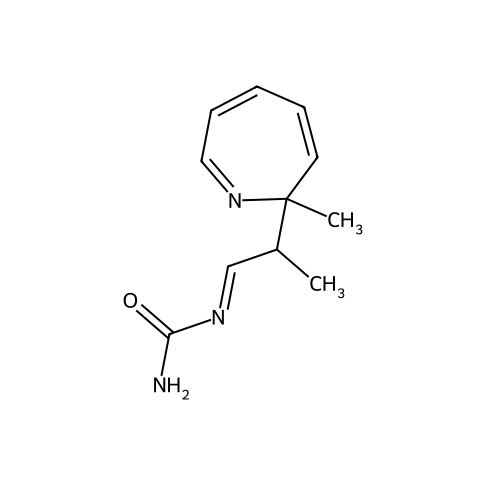 CC(C=NC(N)=O)C1(C)C=CC=CC=N1